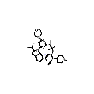 C#C/C(=C(\C=C/C)CC(C)(C)Nc1nc(N2CCOCC2)nc(-n2c(C(F)F)nc3ccccc32)n1)C1CCN(C)CC1